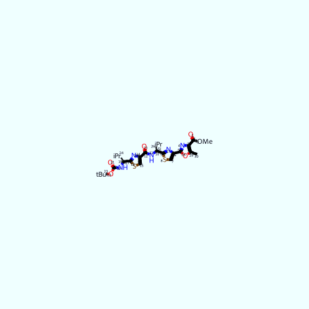 COC(=O)c1nc(-c2csc([C@@H](NC(=O)c3csc([C@@H](NC(=O)OC(C)(C)C)C(C)C)n3)C(C)C)n2)oc1C